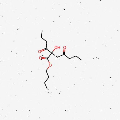 CCCCOC(=O)C(O)(CC(=O)CCC)C(=O)CCC